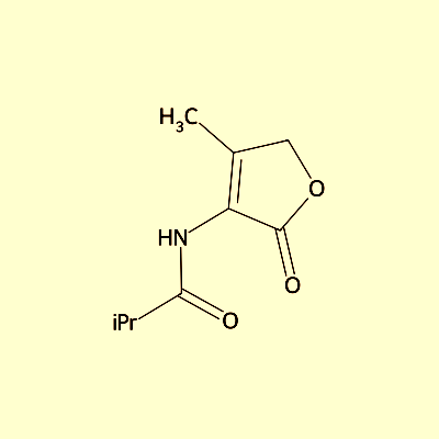 CC1=C(NC(=O)C(C)C)C(=O)OC1